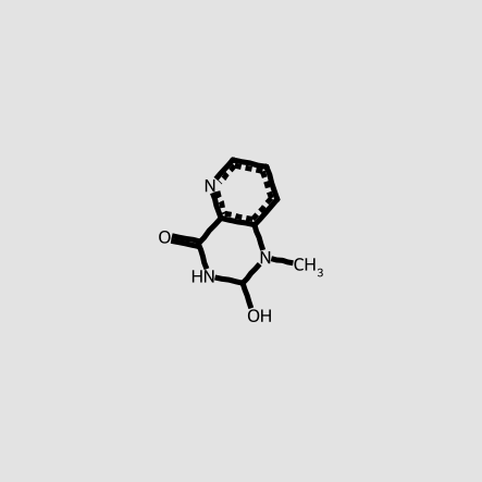 CN1c2cccnc2C(=O)NC1O